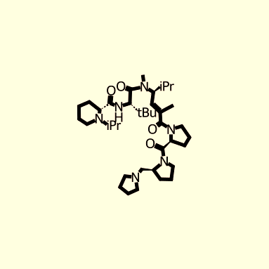 C/C(=C\[C@H](C(C)C)N(C)C(=O)[C@@H](NC(=O)[C@H]1CCCCN1C(C)C)C(C)(C)C)C(=O)N1CCC[C@H]1C(=O)N1CCC[C@H]1CN1CCCC1